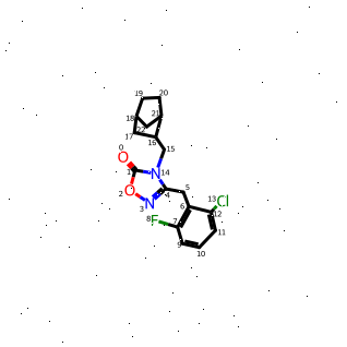 O=c1onc(Cc2c(F)cccc2Cl)n1CC1CC2CCC1C2